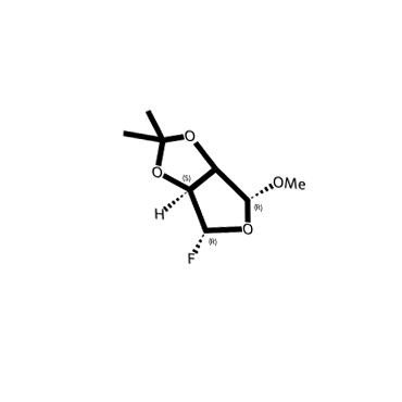 CO[C@@H]1O[C@H](F)[C@H]2OC(C)(C)OC12